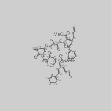 C=CC=CC(C=Cc1ccccc1)=C(C(=O)OC)C(CC)OC(=O)C(C)=COC(=O)CC(=C)C(=O)OC=C(C)C(=O)OC(CC)C(C(=O)OC)=C(C=CC=C)C=Cc1ccccc1